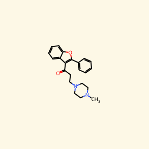 CN1CCN(CCC(=O)c2c(-c3ccccc3)oc3ccccc23)CC1